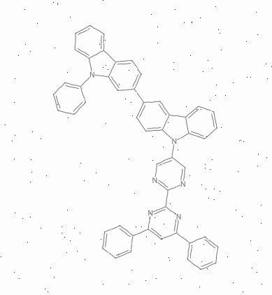 c1ccc(-c2cc(-c3ccccc3)nc(-c3ncc(-n4c5ccccc5c5cc(-c6ccc7c8ccccc8n(-c8ccccc8)c7c6)ccc54)cn3)n2)cc1